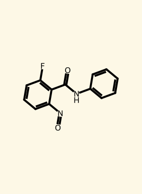 O=Nc1cccc(F)c1C(=O)Nc1ccccc1